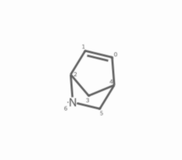 C1=CC2CC1C[N]2